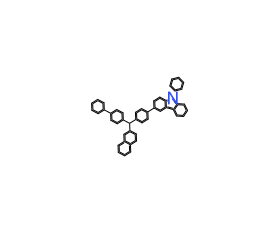 c1ccc(-c2ccc(C(c3ccc(-c4ccc5c(c4)c4ccccc4n5-c4ccccc4)cc3)c3ccc4ccccc4c3)cc2)cc1